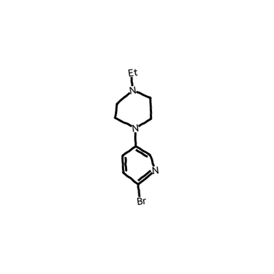 CCN1CCN(c2ccc(Br)nc2)CC1